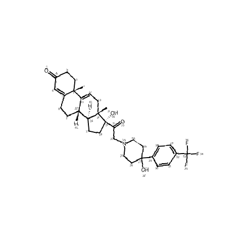 C[C@]12CCC(=O)C=C1CC[C@@H]1C2=CC[C@@]2(C)[C@H]1CC[C@]2(O)C(=O)CN1CCC(O)(c2ccc(C(F)(F)F)cc2)CC1